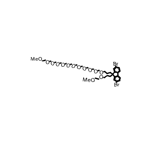 COCCOCCCC1(CCCOCOCOCOCOCOCOCOCOCOCOCCOC)c2cc(Br)ccc2-c2ccc(Br)cc21